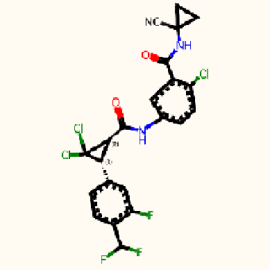 N#CC1(NC(=O)c2cc(NC(=O)[C@H]3[C@H](c4ccc(C(F)F)c(F)c4)C3(Cl)Cl)ccc2Cl)CC1